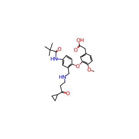 COc1ccc(CC(=O)O)cc1Oc1ccc(NC(=O)C(C)(C)C)cc1CNCCC(=O)C1CC1